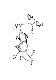 CC(Nc1nc2cc(Cl)c(C(F)(F)F)cn2n1)C(=O)O